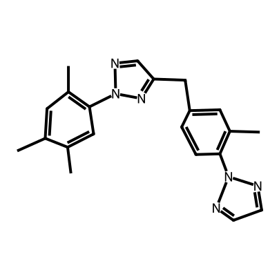 Cc1cc(C)c(-n2ncc(Cc3ccc(-n4nccn4)c(C)c3)n2)cc1C